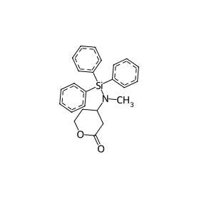 CN(C1CCOC(=O)C1)[Si](c1ccccc1)(c1ccccc1)c1ccccc1